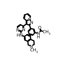 CC(=O)Nc1cccc(-c2nn3ccccc3c2-c2ccnc(Nc3ccc4c(c3)CN(C)CC4)n2)c1